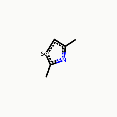 Cc1c[se]c(C)n1